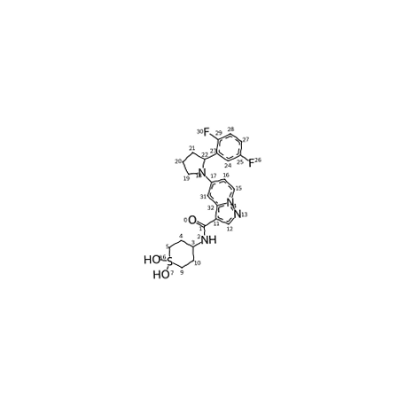 O=C(NC1CCS(O)(O)CC1)c1cnn2ccc(N3CCCC3c3cc(F)ccc3F)cc12